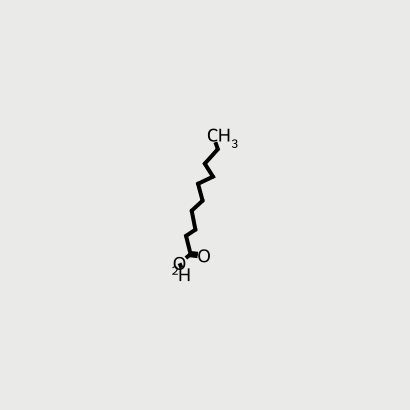 [2H]OC(=O)CCCCCCCCC